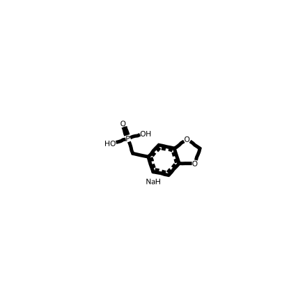 O=P(O)(O)Cc1ccc2c(c1)OCO2.[NaH]